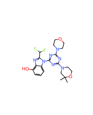 CC1(C)CN(c2nc(N3CCOCC3)nc(-n3c(C(F)F)nc4c(O)cccc43)n2)CCO1